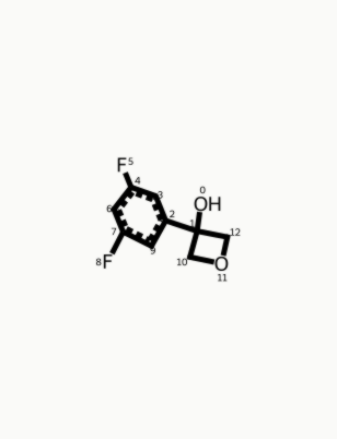 OC1(c2cc(F)cc(F)c2)COC1